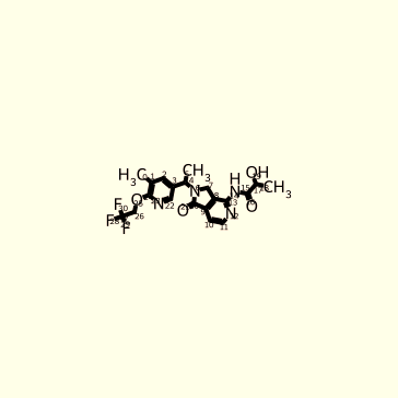 Cc1cc(C(C)N2Cc3c(ccnc3NC(=O)C(C)O)C2=O)cnc1OCC(F)(F)F